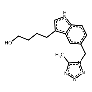 Cc1nnnn1Cc1ccc2[nH]cc(CCCCO)c2c1